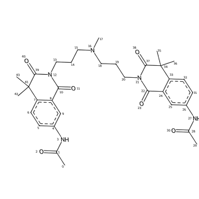 CC(=O)Nc1ccc2c(c1)C(=O)N(CCCN(C)CCCN1C(=O)c3cc(NC(C)=O)ccc3C(C)(C)C1=O)C(=O)C2(C)C